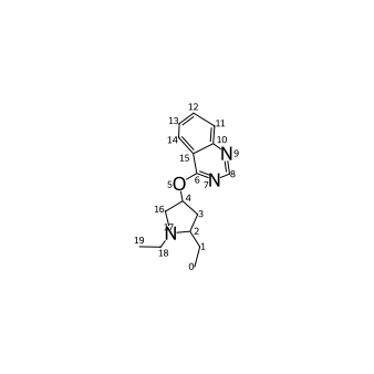 CCC1CC(Oc2ncnc3ccccc23)CN1CC